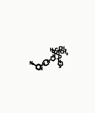 CC(C)(C)OC(=O)N1C[C@@H](N2CCN(c3cc(C#N)ccn3)CC2)C[C@H]1C(=O)N1CCSC1